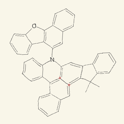 CC1(C)c2ccccc2-c2cc(N(c3ccccc3-c3cccc4ccccc34)c3cc4ccccc4c4oc5ccccc5c34)ccc21